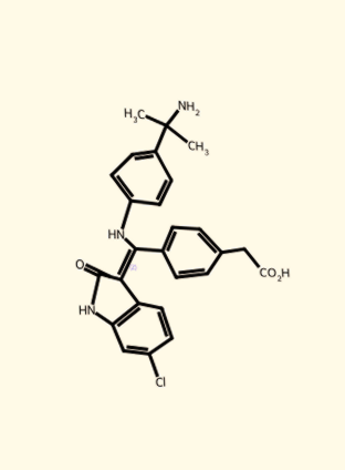 CC(C)(N)c1ccc(N/C(=C2\C(=O)Nc3cc(Cl)ccc32)c2ccc(CC(=O)O)cc2)cc1